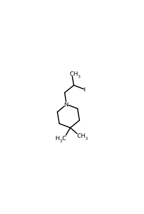 CC(I)CN1CCC(C)(C)CC1